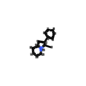 Cc1c(-c2ccccc2)cc2ccccn12